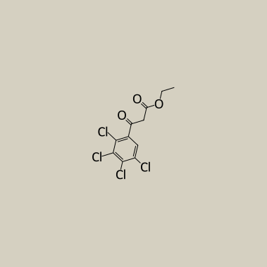 CCOC(=O)CC(=O)c1cc(Cl)c(Cl)c(Cl)c1Cl